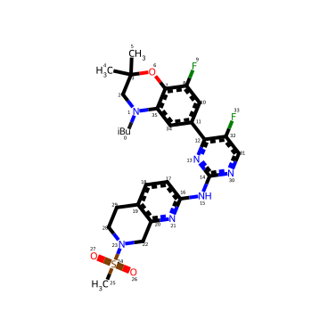 CCC(C)N1CC(C)(C)Oc2c(F)cc(-c3nc(Nc4ccc5c(n4)CN(S(C)(=O)=O)CC5)ncc3F)cc21